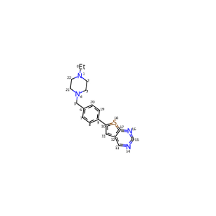 CCN1CCN(Cc2ccc(-c3cc4[c]ncnc4s3)cc2)CC1